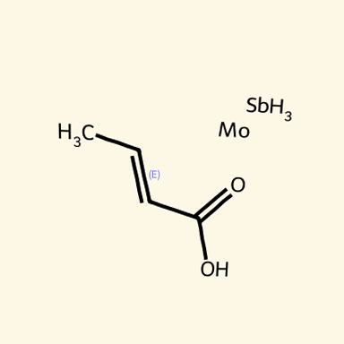 C/C=C/C(=O)O.[Mo].[SbH3]